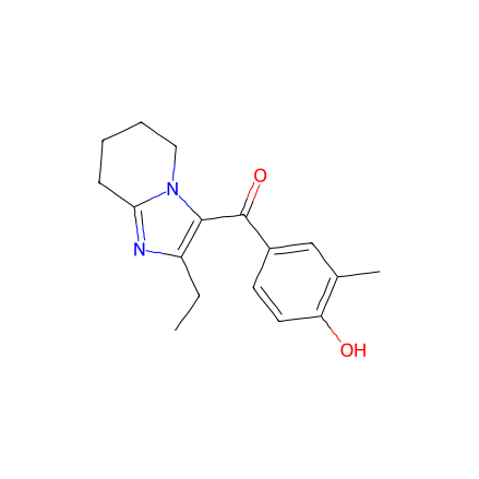 CCc1nc2n(c1C(=O)c1ccc(O)c(C)c1)CCCC2